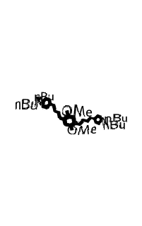 CCCCN(CCCC)c1ccc(/C=C/C=C/c2cc(OC)c(/C=C/C=C/c3ccc(N(CCCC)CCCC)cc3)cc2OC)cc1